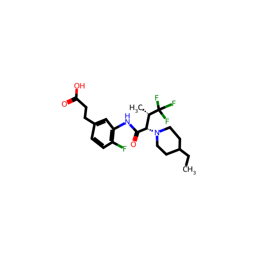 CCC1CCN([C@H](C(=O)Nc2cc(CCC(=O)O)ccc2F)[C@H](C)C(F)(F)F)CC1